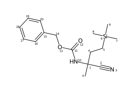 CC(C#N)(CC[Si](C)(C)C)NC(=O)OCc1ccccc1